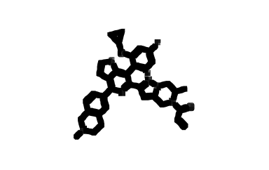 C=CC(=O)N1Cc2cc(-c3nc(-c4ccc5c(c4)CCN(C)C5)c4ccsc4c3-c3c(F)cc(F)cc3OC3CC3)nn2CC1C